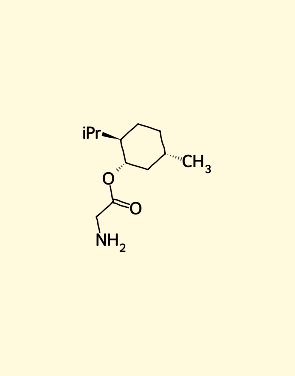 CC(C)[C@H]1CC[C@H](C)C[C@@H]1OC(=O)CN